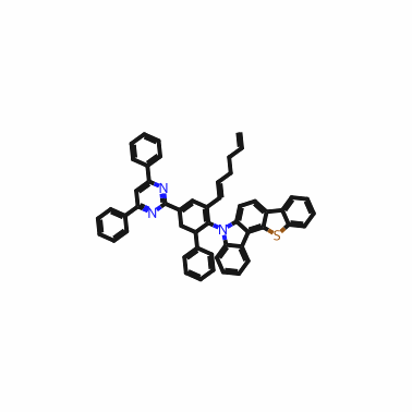 C=CCC/C=C/C1=C(n2c3ccccc3c3c4sc5ccccc5c4ccc32)C(c2ccccc2)CC(c2nc(-c3ccccc3)cc(-c3ccccc3)n2)=C1